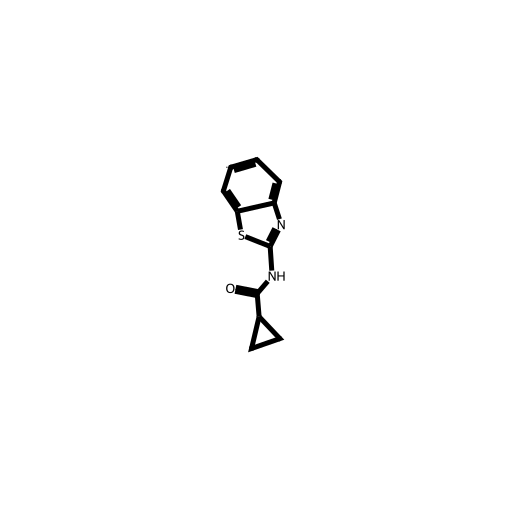 O=C(Nc1nc2cc[c]cc2s1)C1CC1